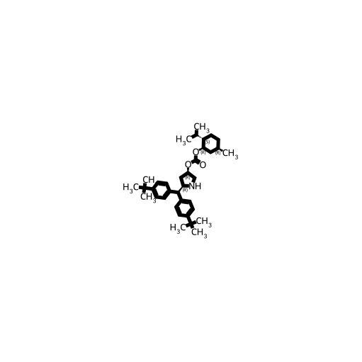 CC(C)[C@@H]1CC[C@@H](C)C[C@H]1OC(=O)O[C@H]1CN[C@@H](C(c2ccc(C(C)(C)C)cc2)c2ccc(C(C)(C)C)cc2)C1